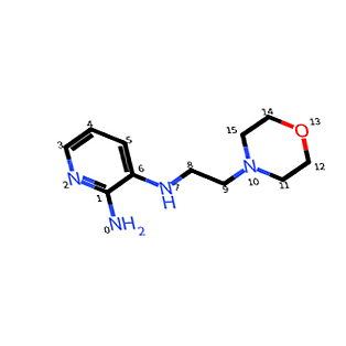 Nc1ncccc1NCCN1CCOCC1